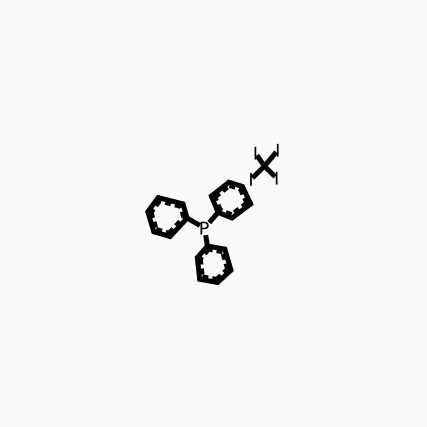 IC(I)(I)I.c1ccc(P(c2ccccc2)c2ccccc2)cc1